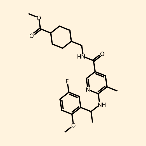 COC(=O)C1CCC(CNC(=O)c2cnc(NC(C)c3cc(F)ccc3OC)c(C)c2)CC1